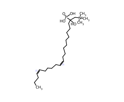 CCC/C=C\CCCC/C=C\CCCCCCCCCC(O)(C[N+](C)(C)C)P(=O)(O)O